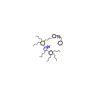 CCCCC1=C(c2cc(CCCC)c(CCCC)c(CCCC)c2)[N+](=[N-])C(c2cc(CCCC)c(CCCC)c(CCCC)c2)=C1.c1ccc([CH2][Ni][CH2]c2ccccc2)cc1